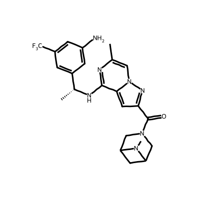 Cc1cn2nc(C(=O)N3CC4CC(C3)N4C)cc2c(N[C@H](C)c2cc(N)cc(C(F)(F)F)c2)n1